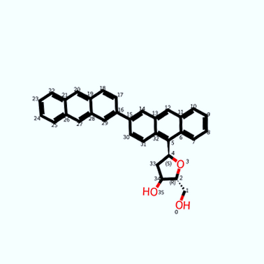 OC[C@H]1O[C@H](c2c3ccccc3cc3cc(-c4ccc5cc6ccccc6cc5c4)ccc23)CC1O